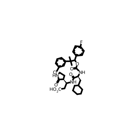 CC(C)(c1cccc(Cl)c1)C(OC(=O)N[C@@H](CC1CCCCC1)C(=O)NC(CC(=O)O)[C@@H]1CCNC1=O)c1ccc(F)cc1